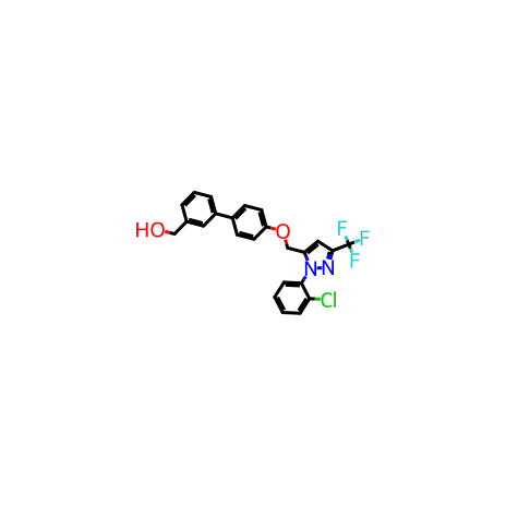 OCc1cccc(-c2ccc(OCc3cc(C(F)(F)F)nn3-c3ccccc3Cl)cc2)c1